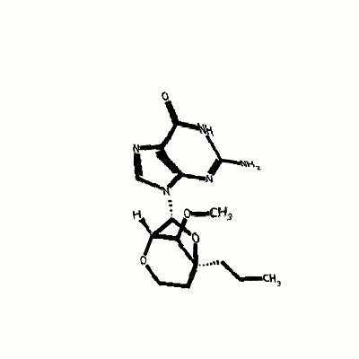 CCC[C@]12CCO[C@@H](C1OC)[C@H](n1cnc3c(=O)[nH]c(N)nc31)O2